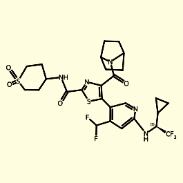 O=C(NC1CCS(=O)(=O)CC1)c1nc(C(=O)N2C3CCC2CC3)c(-c2cnc(N[C@@H](C3CC3)C(F)(F)F)cc2C(F)F)s1